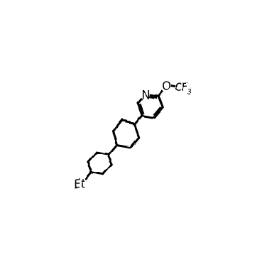 CCC1CCC(C2CCC(c3ccc(OC(F)(F)F)nc3)CC2)CC1